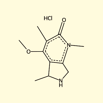 COc1c2c(n(C)c(=O)c1C)CNC2C.Cl